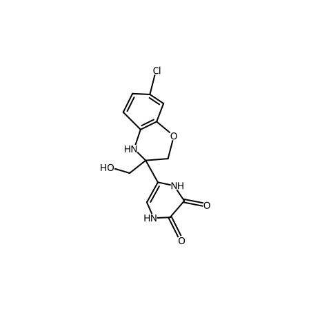 O=c1[nH]cc(C2(CO)COc3cc(Cl)ccc3N2)[nH]c1=O